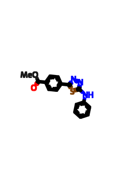 COC(=O)c1ccc(-c2nnc(Nc3ccccc3)s2)cc1